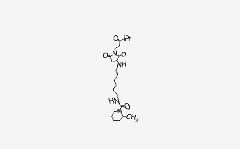 CC(C)C(=O)CCN1C(=O)CC(NCCCCCCNC(=O)[C@@H]2CCCCC2C)C1=O